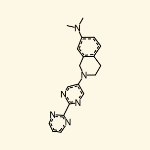 CN(C)c1ccc2c(c1)CN(c1cnc(-c3ncccn3)nc1)CC2